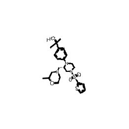 CC1CN(C[C@H]2CN(S(=O)(=O)c3cccs3)CCN2c2ccc(C(C)(C)O)cc2)CCO1